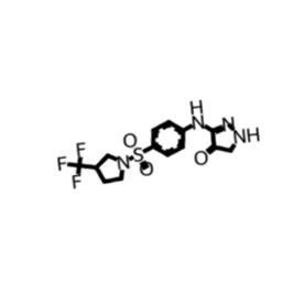 O=C1CNN=C1Nc1ccc(S(=O)(=O)N2CCC(C(F)(F)F)C2)cc1